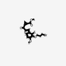 COC(=O)C1CC1C(=O)c1cc2c(F)c(OCCCBr)c(OC)cc2s1